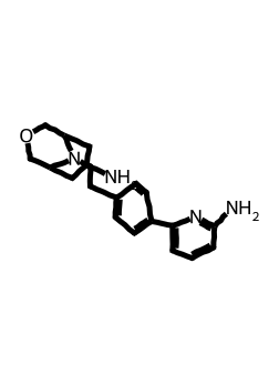 Nc1cccc(-c2ccc(CCN3C4COCC3CC(N)C4)cc2)n1